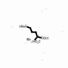 CCCCCCCCCCCCC(CCCCCCCC)C(=O)O.[Rh]